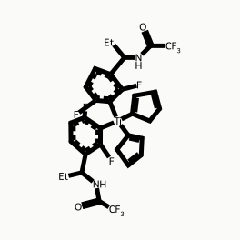 CCC(NC(=O)C(F)(F)F)c1ccc(F)[c]([Ti]([C]2=CC=CC2)([C]2=CC=CC2)[c]2c(F)ccc(C(CC)NC(=O)C(F)(F)F)c2F)c1F